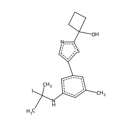 Cc1cc(NC(C)(C)I)cc(-c2cnc(C3(O)CCC3)s2)c1